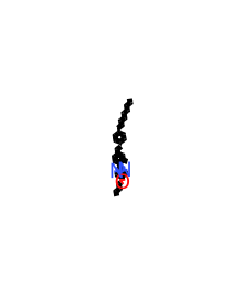 CCCCCCCCC[C@H]1CC[C@H](CCc2ccc(-c3ncc(OCCCC)cn3)c(C)c2)CC1